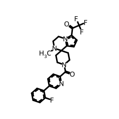 CN1CCn2c(C(=O)C(F)(F)F)ccc2C12CCN(C(=O)c1ccc(-c3ccccc3F)cn1)CC2